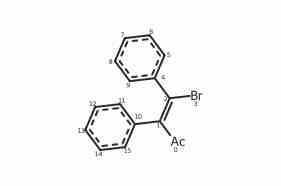 CC(=O)/C(=C(\Br)c1ccccc1)c1ccccc1